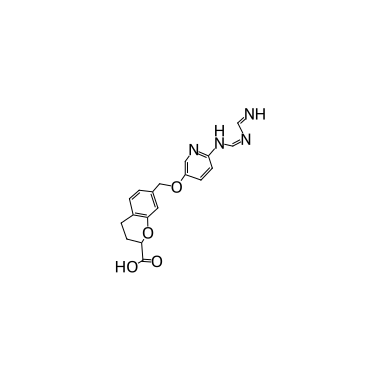 N=C/N=C\Nc1ccc(OCc2ccc3c(c2)OC(C(=O)O)CC3)cn1